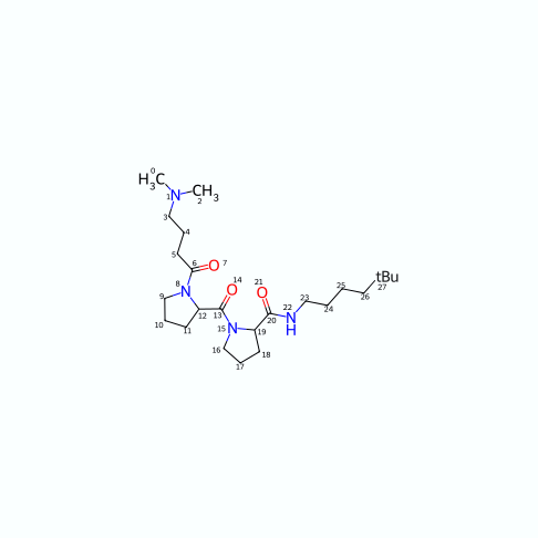 CN(C)CCCC(=O)N1CCCC1C(=O)N1CCCC1C(=O)NCCCCC(C)(C)C